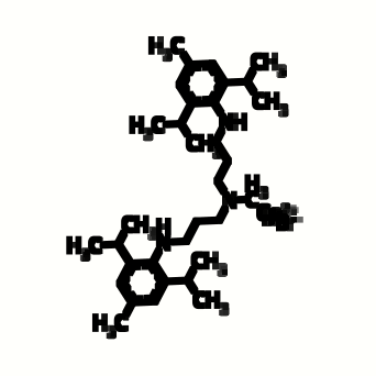 Cc1cc(C(C)C)c(NCCCN(C)CCCNc2c(C(C)C)cc(C)cc2C(C)C)c(C(C)C)c1.[Br-].[Br-].[Co+2]